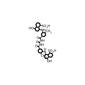 Cc1ccc(C(=O)NC(=O)NC(=O)c2ccc(C)c(Nc3ccc(O)c4cccc(S(=O)(=O)O)c34)c2)cc1Nc1ccc(O)c2cccc(S(=O)(=O)O)c12